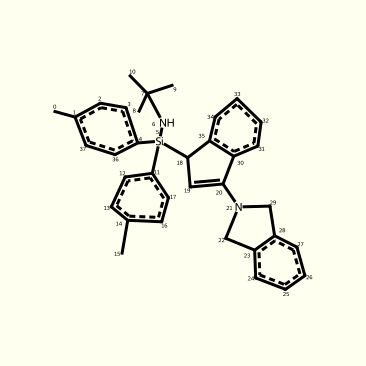 Cc1ccc([Si](NC(C)(C)C)(c2ccc(C)cc2)C2C=C(N3Cc4ccccc4C3)c3ccccc32)cc1